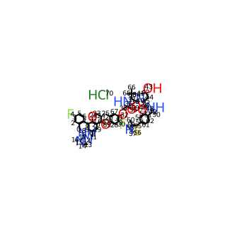 Cc1cc(F)ccc1-c1cc(Cn2ccn(C)c2=N)cc2c1OC[C@H](Cc1ccc(F)c(OCC(=O)N[C@H](C(=O)N3C[C@H](O)C[C@H]3C(=O)N[C@@H](C)c3ccc(-c4scnc4C)cc3)C(C)(C)C)c1)C2=O.Cl